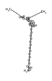 CCCCCCCCCCCCCCNC(=O)OCC[C@H](CSC[C@H](N)C(=O)N[C@@H](CO)C(=O)NCCOCCOCCOCCOCCOCCOCCOCCOCCOCCOCCOCCOCCC(=O)NCC(N)=O)OC(=O)NCCCCCCCCCCCCCC